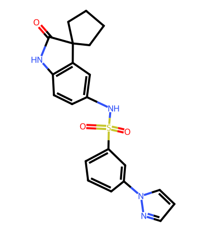 O=C1Nc2ccc(NS(=O)(=O)c3cccc(-n4cccn4)c3)cc2C12CCCC2